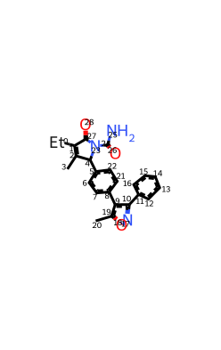 CCC1=C(C)C(c2ccc(-c3c(-c4ccccc4)noc3C)cc2)N(C(N)=O)C1=O